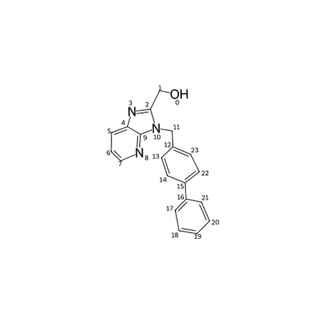 OCc1nc2cccnc2n1Cc1ccc(-c2ccccc2)cc1